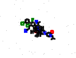 Cc1nc2c(F)c(-c3cccc(Cl)c3Cl)c(CCC#N)cc2c2c1cc([C@H]1[C@H]3C[C@H](CN(c4ccn(CC(C)C)c(=O)c4)C3)N1C(=O)C1CC1)n2[C@H]1[C@H]2CN[C@@H]1C2